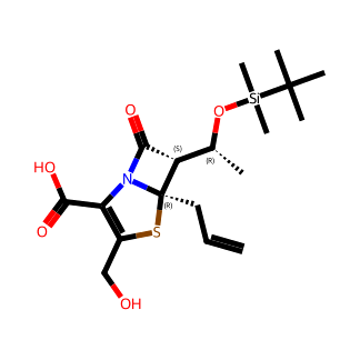 C=CC[C@]12SC(CO)=C(C(=O)O)N1C(=O)[C@@H]2[C@@H](C)O[Si](C)(C)C(C)(C)C